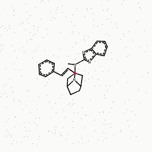 CN(c1nc2ccccc2s1)C1CC2CCC(C1)N2C/C=C/c1ccccc1